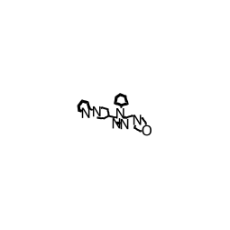 c1ccc(-n2c(CN3CCOCC3)nnc2C2CCN(c3ccccn3)CC2)cc1